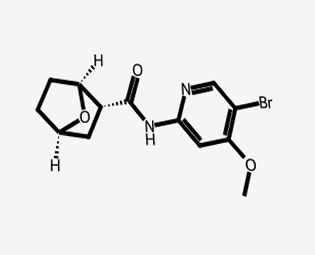 COc1cc(NC(=O)[C@@H]2C[C@H]3CC[C@@H]2O3)ncc1Br